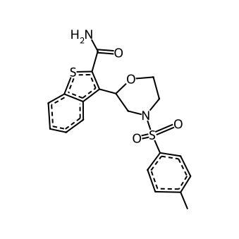 Cc1ccc(S(=O)(=O)N2CCOC(c3c(C(N)=O)sc4ccccc34)C2)cc1